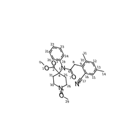 COC(=O)C1(N(C(=O)Cc2c(C)cc(C)cc2C#N)c2ccccc2)CCN(OC)CC1